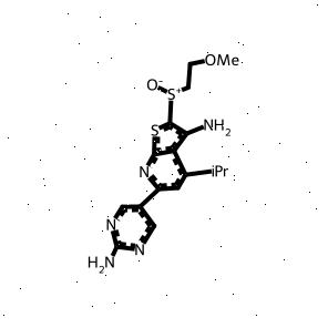 COCC[S+]([O-])c1sc2nc(-c3cnc(N)nc3)cc(C(C)C)c2c1N